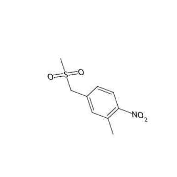 Cc1cc(CS(C)(=O)=O)ccc1[N+](=O)[O-]